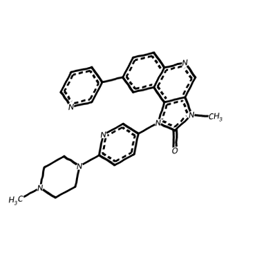 CN1CCN(c2ccc(-n3c(=O)n(C)c4cnc5ccc(-c6cccnc6)cc5c43)cn2)CC1